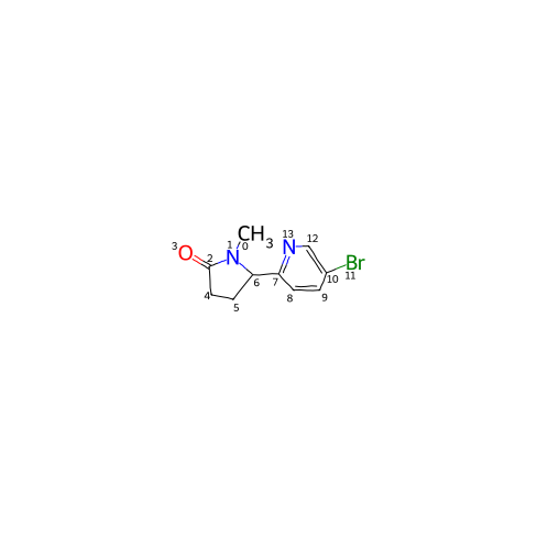 CN1C(=O)CCC1c1ccc(Br)cn1